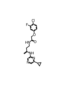 C=C(CCNC(=O)COc1ccc(Cl)c(F)c1)Nc1cncc(C2CC2)n1